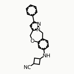 N#CC1CC(Nc2ccc3c(c2)OCc2cc(-c4ccccc4)nn2C3)C1